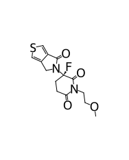 COCCN1C(=O)CC[C@](F)(N2Cc3cscc3C2=O)C1=O